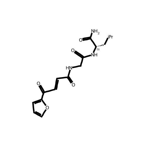 CC(C)C[C@H](NC(=O)CNC(=O)C=CC(=O)c1ccco1)C(N)=O